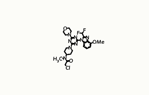 COc1cccc2c1nc(C(F)F)n2-c1nc(N2CCOCC2)nc(N2CCC(N(C)C(=O)CCl)CC2)n1